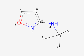 CC(C)(C)Nc1ccon1